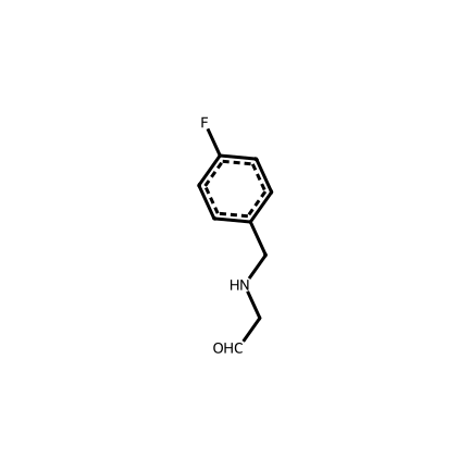 O=CCNCc1ccc(F)cc1